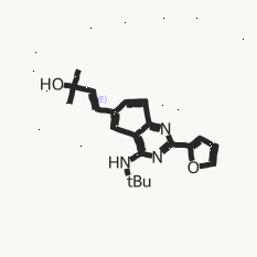 CC(C)(O)/C=C/c1ccc2nc(-c3ccco3)nc(NC(C)(C)C)c2c1